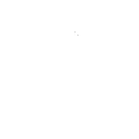 CCCC(CC)c1cc(-c2ccc(Cc3ccccc3)cc2)cc2cccnc12